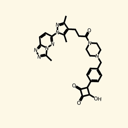 Cc1nn(-c2ccc3nnc(C)n3n2)c(C)c1CCC(=O)N1CCN(Cc2ccc(C3C(=O)C(=O)C3O)cc2)CC1